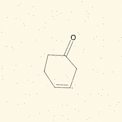 O=C1C[C]=CCC1